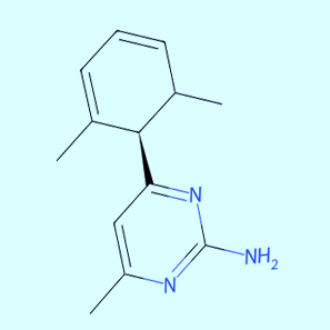 CC1=CC=CC(C)[C@H]1c1cc(C)nc(N)n1